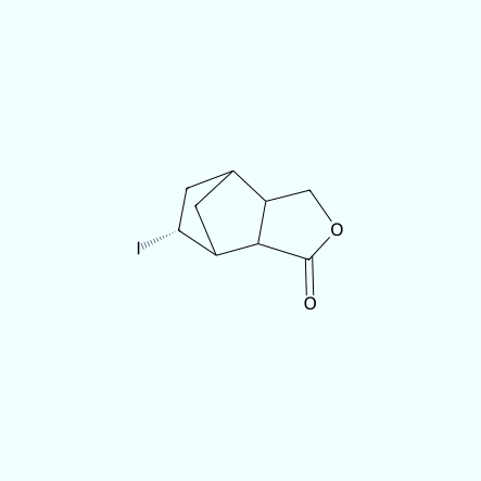 O=C1OCC2C3CC(C12)[C@H](I)C3